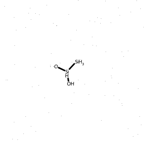 [O][SiH](O)[SiH3]